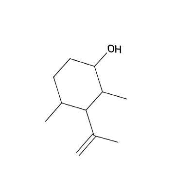 C=C(C)C1C(C)CCC(O)C1C